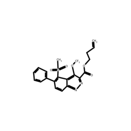 C=CCCOC(=O)c1nnc2ccc(-c3ccccc3)c(S(C)(=O)=O)c2c1OC(F)(F)F